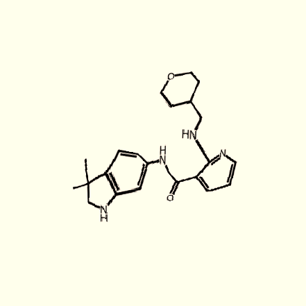 CC1(C)CNc2cc(NC(=O)c3cccnc3NCC3CCOCC3)ccc21